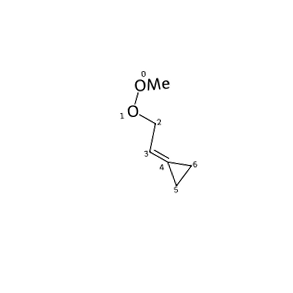 COOCC=C1CC1